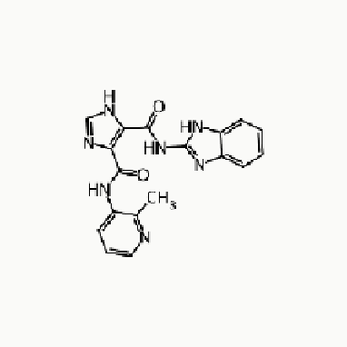 Cc1ncccc1NC(=O)c1nc[nH]c1C(=O)Nc1nc2ccccc2[nH]1